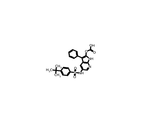 CC(C)(C)c1ccc(S(=O)(=O)Nc2cnc3[nH]c(OC(=O)O)c(-c4ccccc4)c3c2)cc1